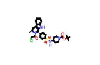 C[C@H]1Cc2c([nH]c3ccccc23)[C@H](c2ccc(S(=O)(=O)NC3CCN(C(=O)OC(C)(C)C)CC3)cc2)N1C(=O)CCl